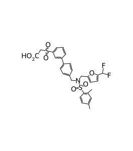 Cc1ccc(S(=O)(=O)N(Cc2ccc(-c3cccc(S(=O)(=O)CC(=O)O)c3)cc2)Cc2ccc(C(F)F)o2)c(C)c1